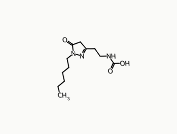 CCCCCCN1N=C(CCNC(=O)O)CC1=O